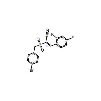 N#C/C(=C\c1ccc(F)cc1F)S(=O)(=O)Cc1ccc(Br)cc1